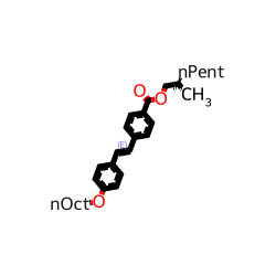 CCCCCCCCOc1ccc(/C=C/c2ccc(C(=O)OC[C@H](C)CCCCC)cc2)cc1